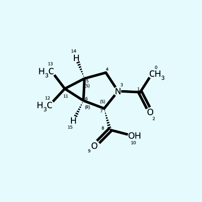 CC(=O)N1C[C@H]2[C@@H]([C@H]1C(=O)O)C2(C)C